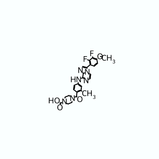 COc1ccc(-c2cnc3c(Nc4ccc(C(=O)N5CCN(C(=O)O)CC5)c(C)c4)nccn23)c(F)c1F